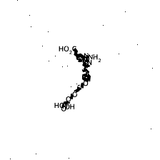 CC(Cc1ccc(OCCOCCOCCOCCP(=O)(O)O)cc1)c1cnc2c(N)nc3cc(CCC(=O)O)ccc3c2c1